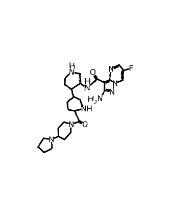 Nc1nn2cc(F)cnc2c1C(=O)NC1CNCCC1C1CCC(C(=O)N2CCC(N3CCCC3)CC2)NC1